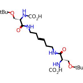 CC(C)(C)OC[C@H](NC(=O)O)C(=O)NCCC=CCCNC(=O)[C@H](COC(C)(C)C)NC(=O)O